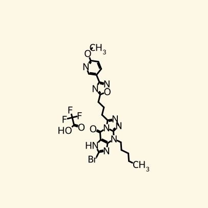 CCCCCn1c2nc(Br)[nH]c2c(=O)n2c(CCCc3nc(-c4ccc(OC)nc4)no3)nnc12.O=C(O)C(F)(F)F